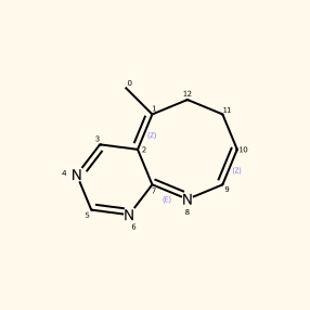 C\C1=c2/cncn/c2=N/C=C\CC1